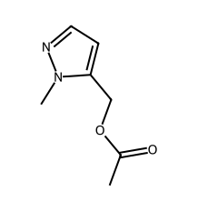 CC(=O)OCc1ccnn1C